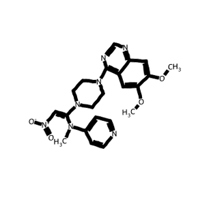 COc1cc2ncnc(N3CCN(/C(=C/[N+](=O)[O-])N(C)c4ccncc4)CC3)c2cc1OC